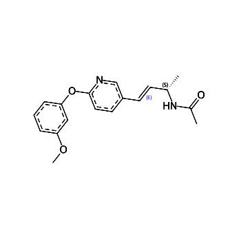 COc1cccc(Oc2ccc(/C=C/[C@H](C)NC(C)=O)cn2)c1